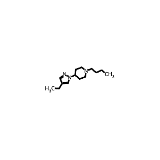 CCCCN1CCC(n2cc(CC)cn2)CC1